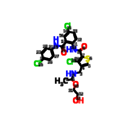 CC(NCc1csc(C(=O)Nc2ccc(Cl)cc2C(=O)Nc2ccc(Cl)cc2)c1Cl)OCCO